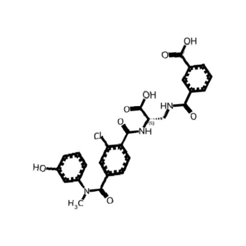 CN(C(=O)c1ccc(C(=O)N[C@@H](CNC(=O)c2cccc(C(=O)O)c2)C(=O)O)c(Cl)c1)c1cccc(O)c1